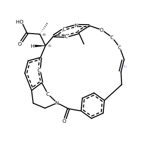 Cc1cc2cnc1OCC/C=C/Cc1ccc(cc1)C(=O)N1CCc3ccc(cc3C1)[C@@H]2[C@@H](C)C(=O)O